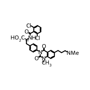 CNCCCc1ccc2c(c1)c(=O)n(-c1ccc(C[C@H](NC(=O)c3c(Cl)cccc3Cl)C(=O)O)cc1)c(=O)n2C